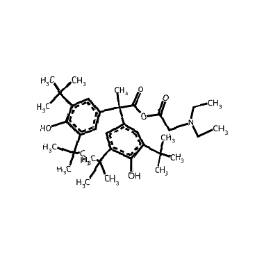 CCN(CC)CC(=O)OC(=O)C(C)(c1cc(C(C)(C)C)c(O)c(C(C)(C)C)c1)c1cc(C(C)(C)C)c(O)c(C(C)(C)C)c1